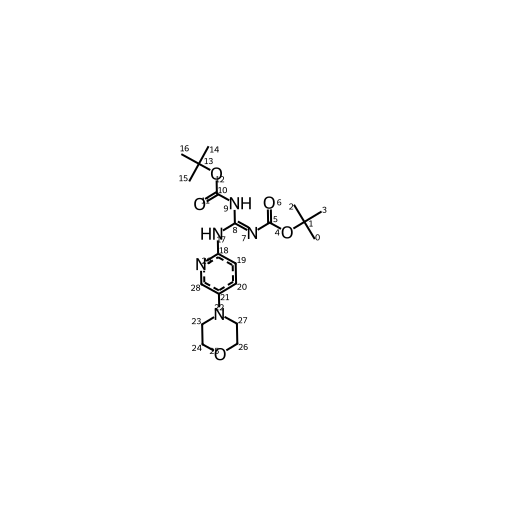 CC(C)(C)OC(=O)N=C(NC(=O)OC(C)(C)C)Nc1ccc(N2CCOCC2)cn1